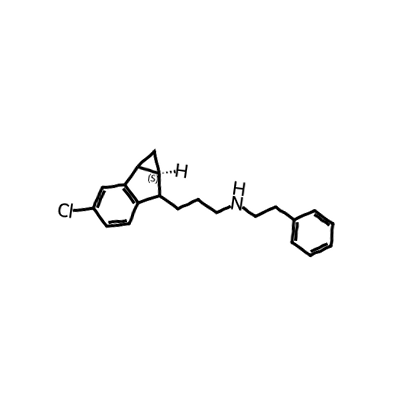 Clc1ccc2c(c1)C1C[C@H]1C2CCCNCCc1ccccc1